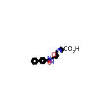 O=C(O)C1CN(Cc2ccc(-c3noc(-c4ccc(C5CCCCC5)cc4)n3)o2)C1